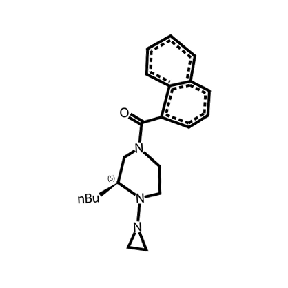 CCCC[C@H]1CN(C(=O)c2cccc3ccccc23)CCN1N1CC1